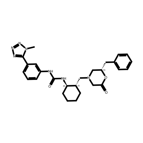 Cn1nnnc1-c1cccc(NC(=O)N[C@@H]2CCCC[C@H]2CN2CC(=O)O[C@@H](Cc3ccccc3)C2)c1